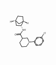 O=C(N[C@@H]1C[C@@H]2CC[C@H]1C2)C1CCCN(c2cccc(Cl)c2)C1